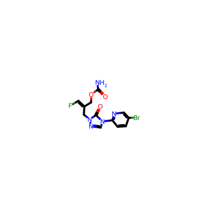 NC(=O)OC/C(=C/F)Cn1ncn(-c2ccc(Br)cn2)c1=O